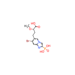 COC(CCc1cn2cc(P(=O)(O)O)nc2cc1Br)C(=O)O